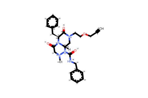 C#CCOCCN1C[C@H]2N(C(=O)CN(CC)N2C(=O)NCc2ccccc2)[C@@H](Cc2ccccc2)C1=O